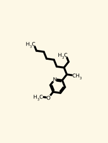 CCCCCCC(CC)C(C)c1ccc(OC)cn1